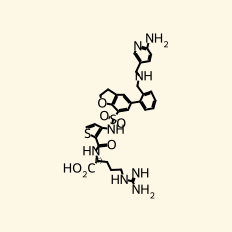 N=C(N)NCCC[C@H](NC(=O)c1sccc1NS(=O)(=O)c1cc(-c2ccccc2CNCc2ccc(N)nc2)cc2c1OCC2)C(=O)O